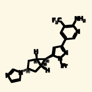 CC(C)n1nc(-c2cnc(N)c(C(F)(F)F)c2)cc1[C@H]1[C@@H]2C[C@H](n3ccnc3)C[C@@H]21